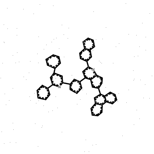 c1ccc(-c2cc(-c3ccccc3)nc(-c3cccc(-c4cc(-c5ccc6ccccc6c5)nc5ccc(-c6cc7ccccc7c7ccccc67)cc45)c3)c2)cc1